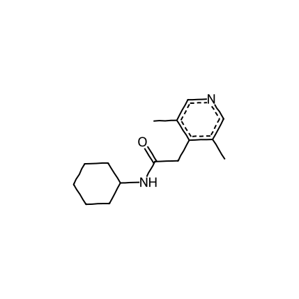 Cc1cncc(C)c1CC(=O)NC1CCCCC1